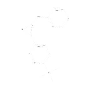 CC(C)(C)c1ccc(C2CN2Cc2ccccc2)cc1